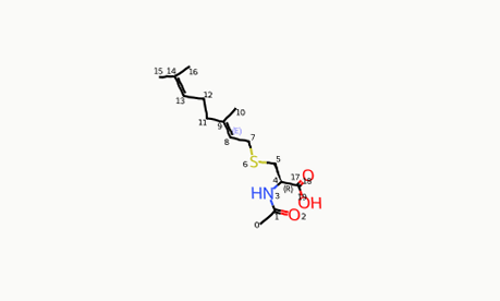 CC(=O)N[C@@H](CSC/C=C(\C)CCC=C(C)C)C(=O)O